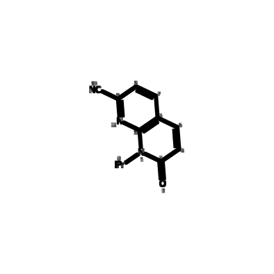 CC(C)n1c(=O)ccc2ccc(C#N)nc21